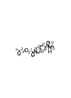 CC(=O)CCOCCC(=O)N1CCC2(CCC(C(=O)NC(C)C)CC2)CC1